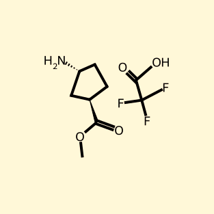 COC(=O)[C@@H]1CC[C@@H](N)C1.O=C(O)C(F)(F)F